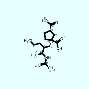 CCCC(C[C@]1(C(=O)O)CC[C@@H](C(=O)O)C1)C(C)NC(C)=O